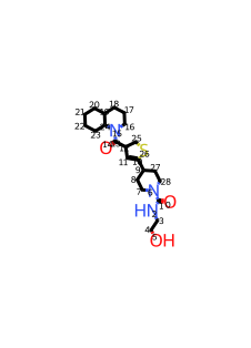 O=C(NCCO)N1CCC(C2=CC(C(=O)N3CCCC4CCCCC43)CS2)CC1